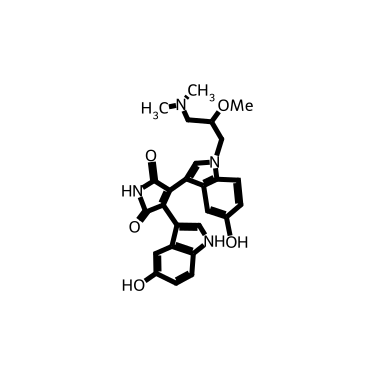 COC(CN(C)C)Cn1cc(C2=C(c3c[nH]c4ccc(O)cc34)C(=O)NC2=O)c2cc(O)ccc21